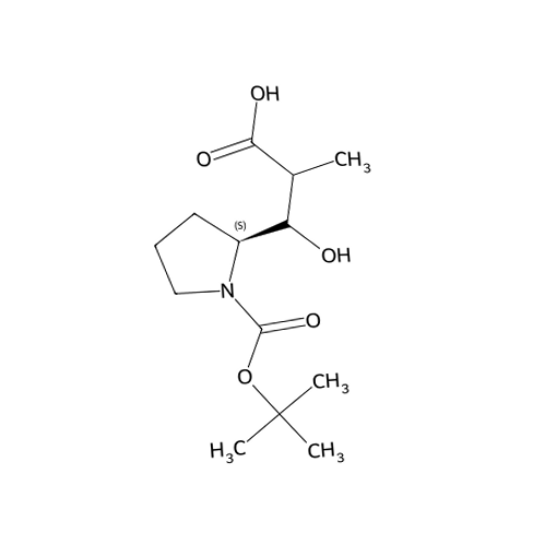 CC(C(=O)O)C(O)[C@@H]1CCCN1C(=O)OC(C)(C)C